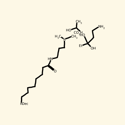 CC(O)C(=O)O.CCC(O)(O)CCN.CCCCCCCCCCCCCCCCCC(=O)NCCCN(C)C